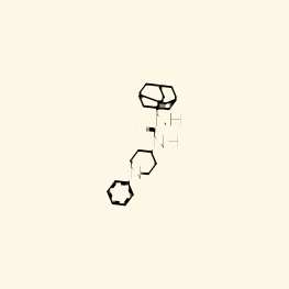 O=C(NC1CCN(c2ccccc2)CC1)NC12CC3CC(CC(C3)C1)C2